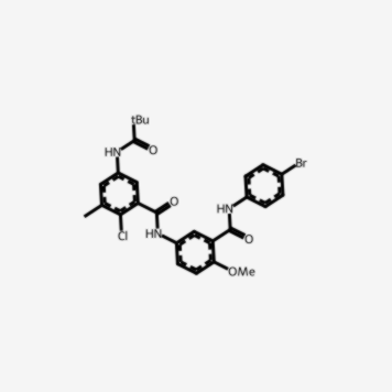 COc1ccc(NC(=O)c2cc(NC(=O)C(C)(C)C)cc(C)c2Cl)cc1C(=O)Nc1ccc(Br)cc1